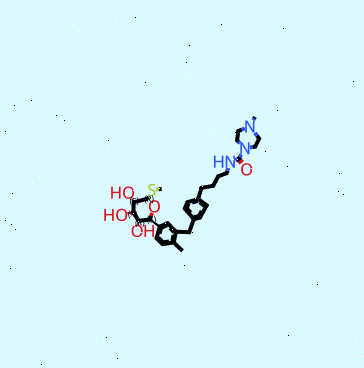 CS[C@H]1O[C@@H](c2ccc(C)c(Cc3ccc(CCCCNC(=O)N4CCN(C)CC4)cc3)c2)[C@H](O)[C@@H](O)[C@@H]1O